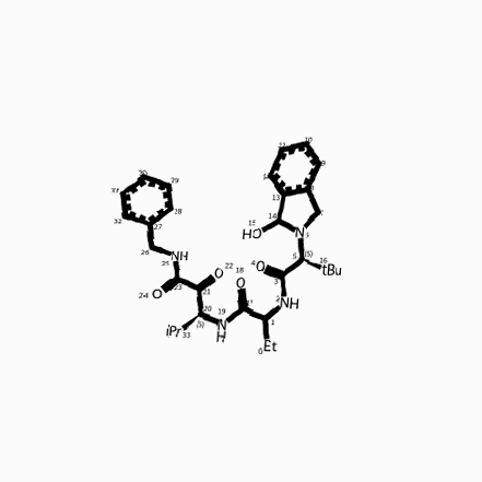 CCC(NC(=O)[C@@H](N1Cc2ccccc2C1O)C(C)(C)C)C(=O)N[C@H](C(=O)C(=O)NCc1ccccc1)C(C)C